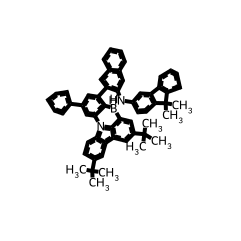 CC(C)(C)c1ccc2c(c1)c1cc(C(C)(C)C)cc3c1n2-c1cc(-c2ccccc2)cc(-c2cc4ccccc4cc2Nc2ccc4c(c2)-c2ccccc2C4(C)C)c1B3